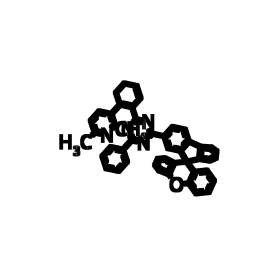 Cc1ccc(C2=C(c3nc(-c4ccccc4)nc(-c4ccc5c(c4)C4(c6ccccc6Oc6ccccc64)c4ccccc4-5)n3)C=CCC2)c(C)n1